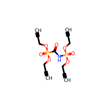 C#CCOP(=O)(NC(=O)P(=O)(OCC#C)OCC#C)OCC#C